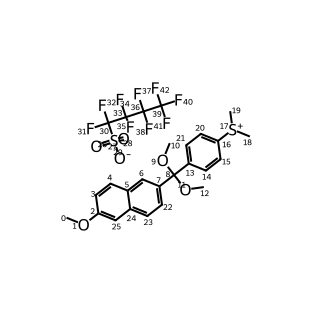 COc1ccc2cc(C(OC)(OC)c3ccc([S+](C)C)cc3)ccc2c1.O=S(=O)([O-])C(F)(F)C(F)(F)C(F)(F)C(F)(F)F